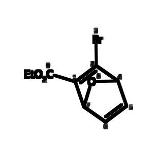 CCOC(=O)C1=C(Br)C2C=CC1O2